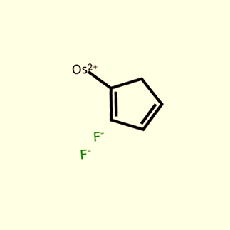 [F-].[F-].[Os+2][C]1=CC=CC1